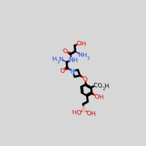 N[C@H](CO)C(=O)N[C@H](N)C(=O)N1CC(Oc2ccc(CCB(O)O)c(O)c2C(=O)O)C1